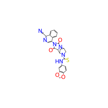 N#Cc1ncc(N2C(=O)C3C4CC(CN4C(=S)Nc4ccc5c(c4)OCO5)N3C2=O)c2ccccc12